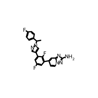 CC(c1ccc(F)cc1)n1cc(-c2cc(F)cc(-c3ccn4nc(N)nc4c3)c2F)cn1